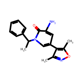 Cc1noc(C)c1-c1cc(N)c(=O)n(C(C)c2ccccc2)c1